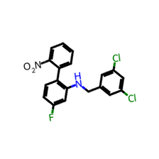 O=[N+]([O-])c1ccccc1-c1ccc(F)cc1NCc1cc(Cl)cc(Cl)c1